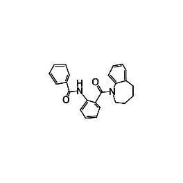 O=C(Nc1ccccc1C(=O)N1CCCCc2ccccc21)c1ccccc1